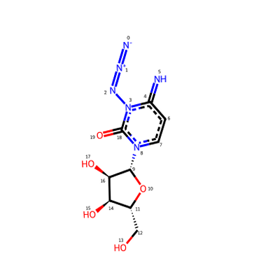 [N-]=[N+]=Nn1c(=N)ccn([C@@H]2O[C@H](CO)[C@@H](O)[C@H]2O)c1=O